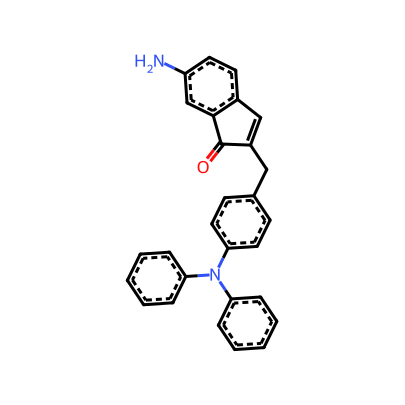 Nc1ccc2c(c1)C(=O)C(Cc1ccc(N(c3ccccc3)c3ccccc3)cc1)=C2